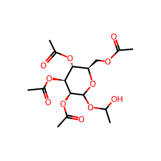 CC(=O)OC[C@H]1OC(OC(C)O)[C@@H](OC(C)=O)[C@@H](OC(C)=O)[C@@H]1OC(C)=O